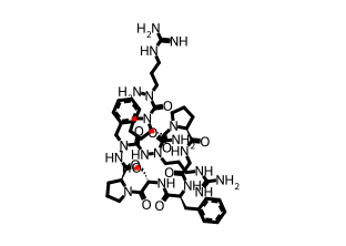 N=C(N)NCCCN(N)C(=O)N1CCC[C@H]1C(=O)N1CCC[C@H]1C(=O)NCC(=O)N[C@@H](Cc1ccccc1)C(=O)N[C@@H](CO)C(=O)N1CCC[C@H]1C(=O)NN(Cc1ccccc1)C(=O)NN(CCCNC(=N)N)C(N)=O